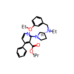 CCOc1cccc(CN(CC)[C@@H]2CCN(c3nccc(-c4ccccc4)c3C(=O)OC(C)C)C2)c1